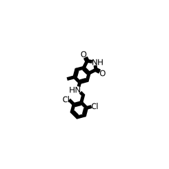 Cc1cc2c(cc1NCc1c(Cl)cccc1Cl)C(=O)NC2=O